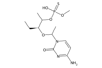 CC[C@H](OC(C)n1ccc(N)nc1=O)C(C)OP(O)(=S)OC